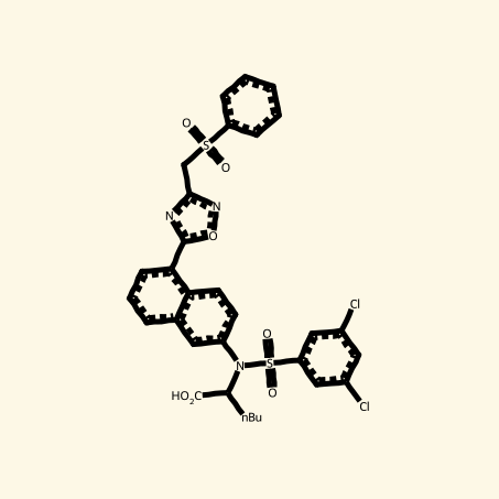 CCCCC(C(=O)O)N(c1ccc2c(-c3nc(CS(=O)(=O)c4ccccc4)no3)cccc2c1)S(=O)(=O)c1cc(Cl)cc(Cl)c1